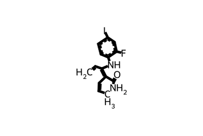 C=C/C(Nc1ccc(I)cc1F)=C(\C=C/C)C(N)=O